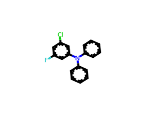 Fc1cc(Cl)cc(N(c2ccccc2)c2ccccc2)c1